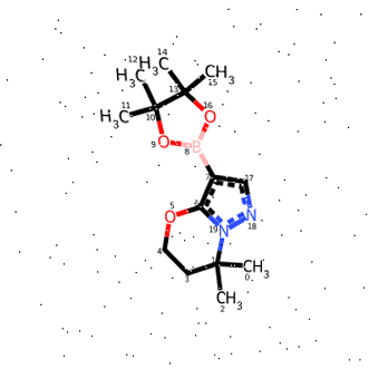 CC1(C)CCOc2c(B3OC(C)(C)C(C)(C)O3)cnn21